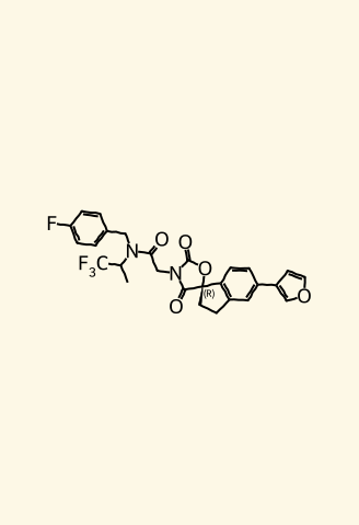 CC(N(Cc1ccc(F)cc1)C(=O)CN1C(=O)O[C@@]2(CCc3cc(-c4ccoc4)ccc32)C1=O)C(F)(F)F